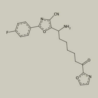 N#Cc1nc(-c2ccc(F)cc2)oc1C(N)CCCCCC(=O)c1ncco1